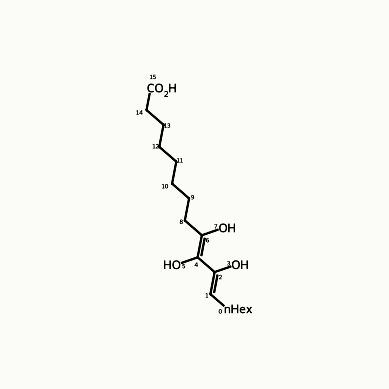 CCCCCCC=C(O)C(O)=C(O)CCCCCCCC(=O)O